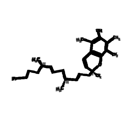 Cc1c(C)c2c(c(C)c1O)C=C[C@](C)(CCC[C@H](C)CCC[C@H](C)CCCC(C)C)O2